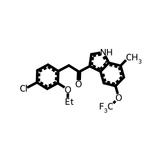 CCOc1cc(Cl)ccc1CC(=O)c1c[nH]c2c(C)cc(OC(F)(F)F)cc12